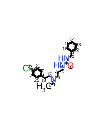 CCN(CCCNC(=O)NCc1ccccc1)CCc1ccc(Cl)cc1